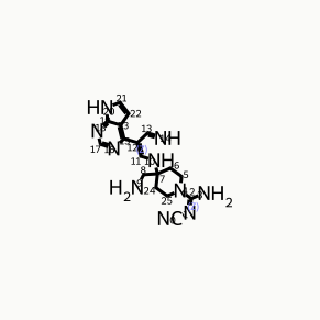 N#C/N=C(/N)N1CCC(CN)(N/C=C(\C=N)c2ncnc3[nH]ccc23)CC1